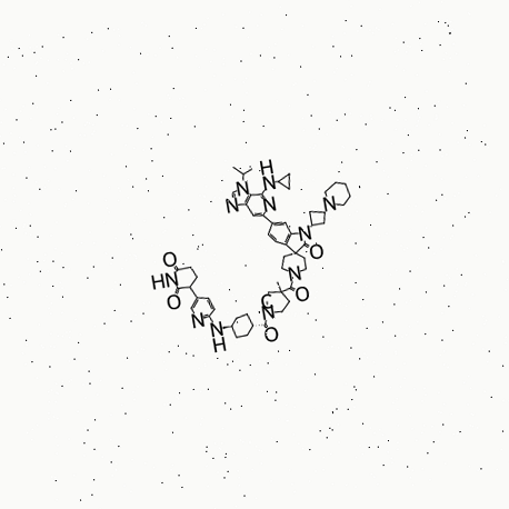 CC(C)n1cnc2cc(-c3ccc4c(c3)N([C@H]3C[C@@H](N5CCCCC5)C3)C(=O)C43CCN(C(=O)C4(C)CCN(C(=O)[C@H]5CC[C@H](Nc6ccc(C7CCC(=O)NC7=O)cn6)CC5)CC4)CC3)nc(NC3CC3)c21